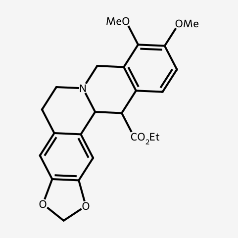 CCOC(=O)C1c2ccc(OC)c(OC)c2CN2CCc3cc4c(cc3C12)OCO4